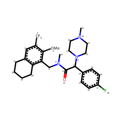 COc1c(C(F)(F)F)cc2c(c1CN(C)C(=O)C(c1ccc(F)cc1)N1CCN(C)CC1)CCCC2